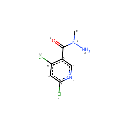 CN(N)C(=O)c1cnc(Cl)cc1Cl